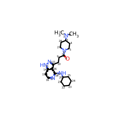 CN(C)C1CCN(C(=O)CCc2n[nH]c3ccnc(NC4CCCCC4)c23)CC1